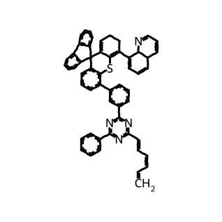 C=C/C=C\C=C\c1nc(-c2ccccc2)nc(-c2cccc(-c3cccc4c3SC3=C(C5=CC=CC6C=CC=NC56)CCC=C3C43c4ccccc4-c4ccccc43)c2)n1